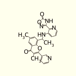 Cc1cc(C(C)Nc2cccnc2-c2noc(=O)[nH]2)c2oc(-c3cccnc3)c(C)c(=O)c2c1